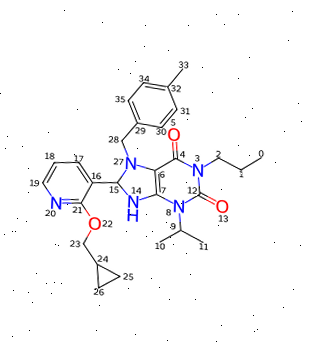 CCCn1c(=O)c2c(n(C(C)C)c1=O)NC(c1cccnc1OCC1CC1)N2Cc1ccc(C)cc1